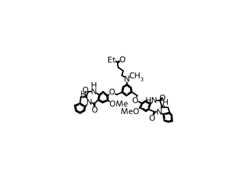 CCC(=O)CCCN(C)c1cc(COc2cc3c(cc2OC)C(=O)N2c4ccccc4C[C@H]2C(=O)N3)cc(COc2cc3c(cc2OC)C(=O)N2c4ccccc4C[C@H]2C(=O)N3)c1